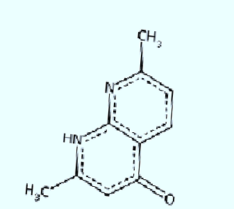 Cc1ccc2c(=O)cc(C)[nH]c2n1